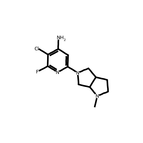 CN1CCC2CN(c3cc(N)c(Cl)c(F)n3)CC21